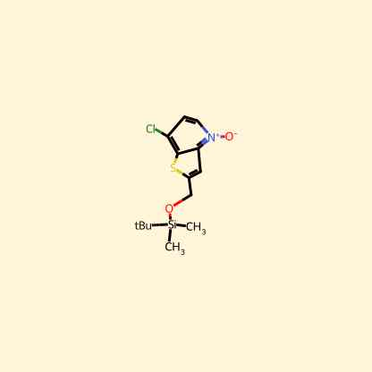 CC(C)(C)[Si](C)(C)OCc1cc2c(s1)c(Cl)cc[n+]2[O-]